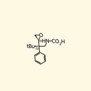 CC(C)(C)[C@@](CNC(=O)O)(c1ccccc1)[C@H]1CO1